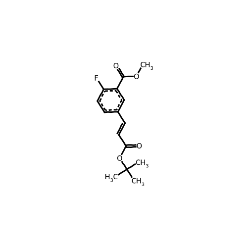 COC(=O)c1cc(C=CC(=O)OC(C)(C)C)ccc1F